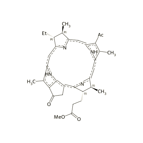 CC[C@H]1c2cc3[nH]c4c(c5nc(cc6[nH]c(cc(n2)[C@@H]1C)c(C(C)=O)c6C)[C@@H](C)[C@@H]5CCC(=O)OC)CC(=O)c4c3C